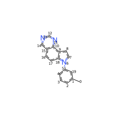 Cc1cccc(-n2ccc3c4ncncc4ccc32)c1